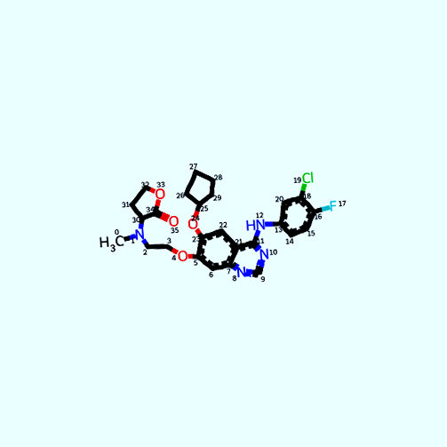 CN(CCOc1cc2ncnc(Nc3ccc(F)c(Cl)c3)c2cc1OC1CCCC1)C1CCOC1=O